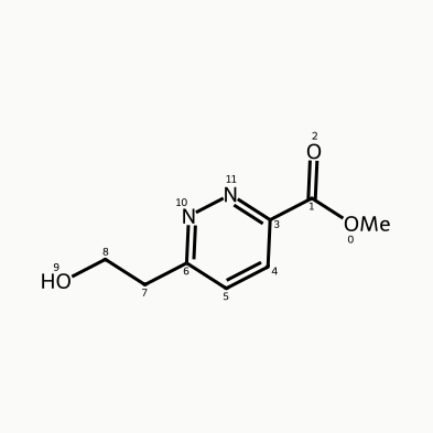 COC(=O)c1ccc(CCO)nn1